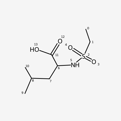 CCS(=O)(=O)NC(CC(C)C)C(=O)O